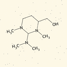 CN(C)C1N(C)CCC(CO)N1C